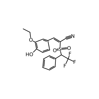 CCOc1cc(C=C(C#N)S(=O)(=O)C(c2ccccc2)C(F)(F)F)ccc1O